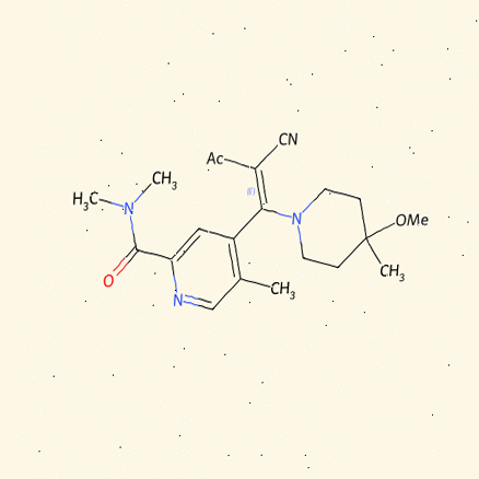 COC1(C)CCN(/C(=C(\C#N)C(C)=O)c2cc(C(=O)N(C)C)ncc2C)CC1